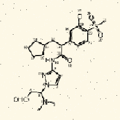 CN(C)C(CC=O)n1ccc(NC(=O)C(CC2CCCC2)c2ccc(S(C)(=O)=O)c(Cl)c2)n1